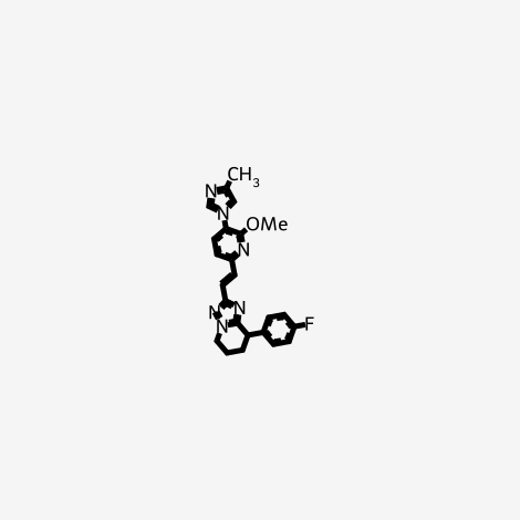 COc1nc(C=Cc2nc3n(n2)CCCC3c2ccc(F)cc2)ccc1-n1cnc(C)c1